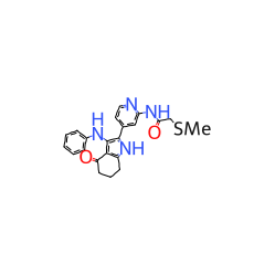 CSCC(=O)Nc1cc(-c2[nH]c3c(c2Nc2ccccc2)C(=O)CCC3)ccn1